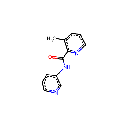 Cc1cccnc1C(=O)Nc1cccnc1